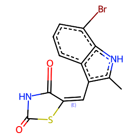 Cc1[nH]c2c(Br)cccc2c1/C=C1/SC(=O)NC1=O